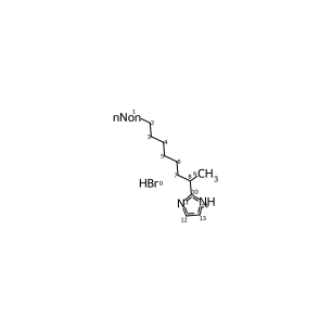 Br.CCCCCCCCCCCCCCCC(C)c1ncc[nH]1